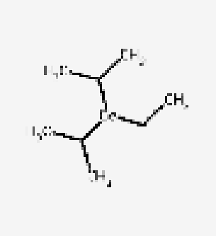 C[CH2][Ge]([CH](C)C)[CH](C)C